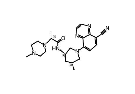 C[C@H]1C[C@@H](NC(=O)[C@@H](C)N2CCN(C)CC2)CN(c2ccc(C#N)c3nccnc23)C1